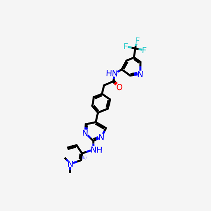 C=C/C(=C\N(C)C)Nc1ncc(-c2ccc(CC(=O)Nc3cncc(C(F)(F)F)c3)cc2)cn1